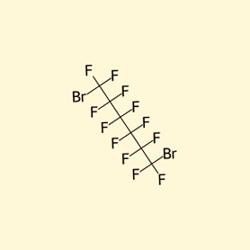 FC(F)(Br)C(F)(F)C(F)(F)C(F)(F)C(F)(F)C(F)(F)Br